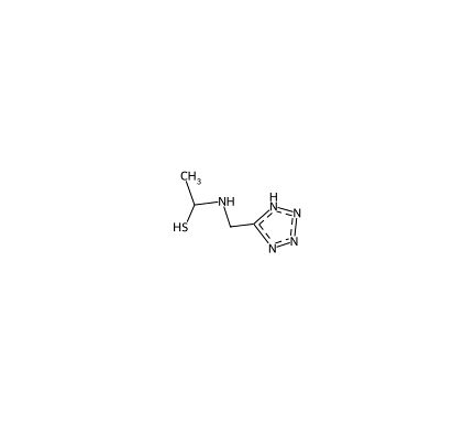 CC(S)NCc1nnn[nH]1